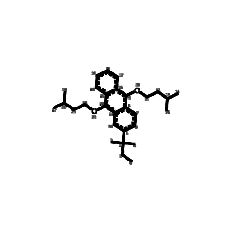 CCC(C)(C)c1ccc2c(OCCC(C)C)c3ccccc3c(OCCC(C)C)c2c1